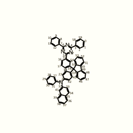 c1ccc(-c2nc(-c3ccccc3)nc(-c3cccc(C4(c5ccc(N(c6ccccc6)c6ccc7ccccc7c6)cc5)c5ccccc5-c5ccccc54)c3)n2)cc1